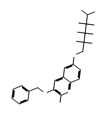 CC(=O)c1nc2ccc(OCC(F)(F)C(F)(F)C(F)(F)C(F)F)cc2cc1OCc1ccccc1